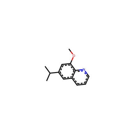 COc1cc(C(C)C)cc2cccnc12